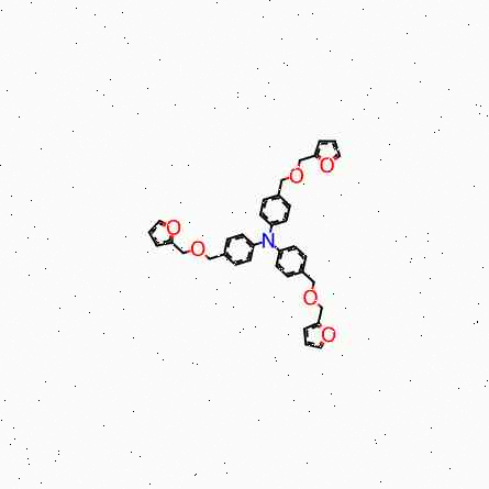 c1coc(COCc2ccc(N(c3ccc(COCc4ccco4)cc3)c3ccc(COCc4ccco4)cc3)cc2)c1